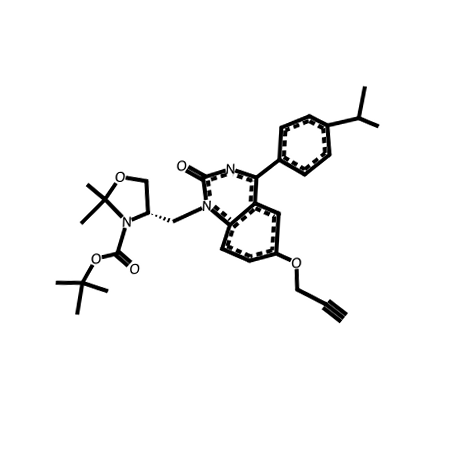 C#CCOc1ccc2c(c1)c(-c1ccc(C(C)C)cc1)nc(=O)n2C[C@H]1COC(C)(C)N1C(=O)OC(C)(C)C